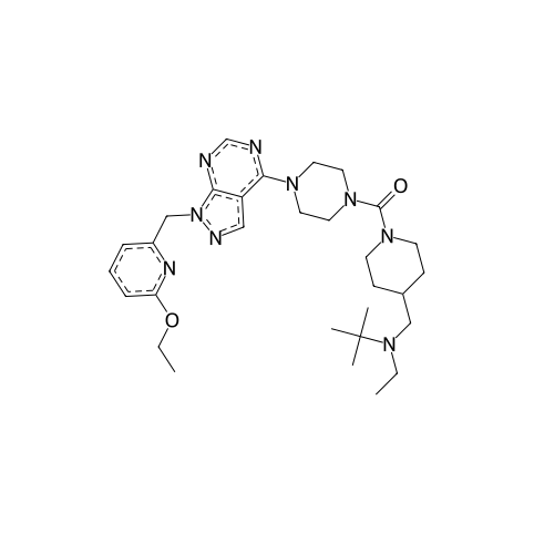 CCOc1cccc(Cn2ncc3c(N4CCN(C(=O)N5CCC(CN(CC)C(C)(C)C)CC5)CC4)ncnc32)n1